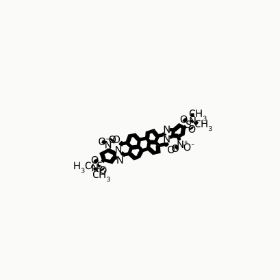 CN(C)S(=O)(=O)c1cc([N+](=O)[O-])c2c(c1)nc1c3ccc4c5ccc6c(=O)n7c(nc8cc(S(=O)(=O)N(C)C)cc([N+](=O)[O-])c87)c7ccc(c8ccc(c(=O)n12)c3c84)c5c67